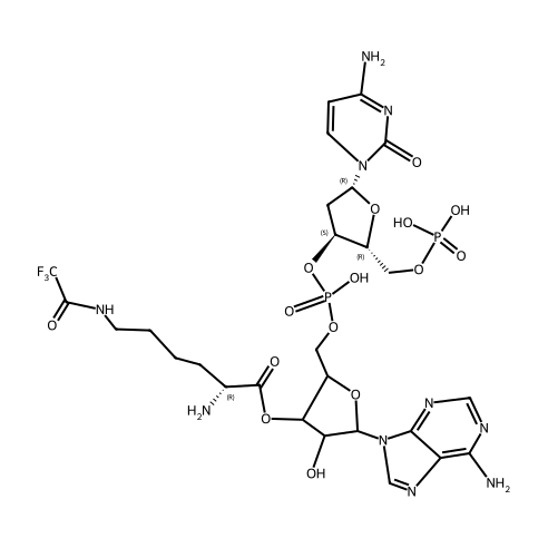 Nc1ccn([C@H]2C[C@H](OP(=O)(O)OCC3OC(n4cnc5c(N)ncnc54)C(O)C3OC(=O)[C@H](N)CCCCNC(=O)C(F)(F)F)[C@@H](COP(=O)(O)O)O2)c(=O)n1